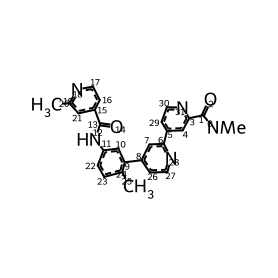 CNC(=O)c1cc(-c2cc(-c3cc(NC(=O)c4ccnc(C)c4)ccc3C)ccn2)ccn1